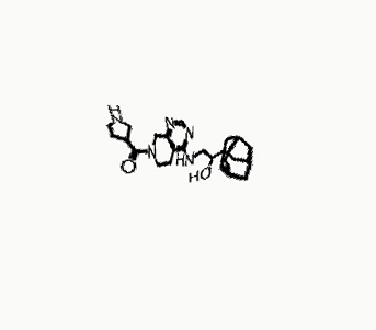 O=C(C1CCNC1)N1CCc2c(ncnc2NCC(O)C23CC4CC(CC(C4)C2)C3)C1